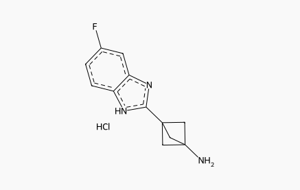 Cl.NC12CC(c3nc4cc(F)ccc4[nH]3)(C1)C2